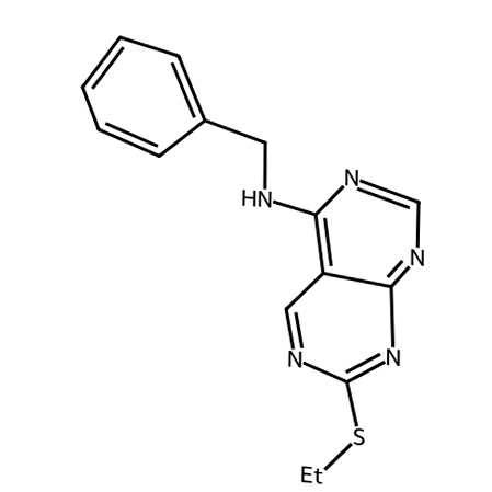 CCSc1ncc2c(NCc3ccccc3)ncnc2n1